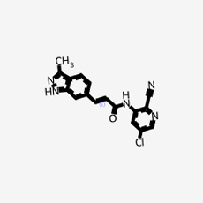 Cc1n[nH]c2cc(/C=C/C(=O)Nc3cc(Cl)cnc3C#N)ccc12